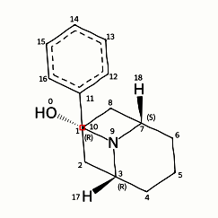 O[C@H]1C[C@H]2CCC[C@@H](C1)N2Cc1ccccc1